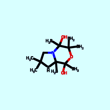 BC1(B)OC(B)(O)C2(B)BC(C)(C)CN2C1(B)O